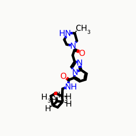 C[C@@H]1CN(C(=O)Cc2cn3c(C(=O)NC[C@@H]4CC[C@@H]5C[C@H]4C5(C)C)cccc3n2)CCN1